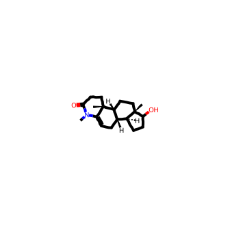 CN1C(=O)CC[C@@]2(C)C1=CC[C@@H]1[C@H]2CC[C@]2(C)C(O)CC[C@@H]12